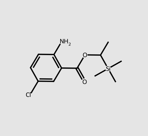 CC(OC(=O)c1cc(Cl)ccc1N)[Si](C)(C)C